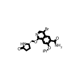 CC(C)Oc1cc2c(OC[C@@H]3CCC(=O)N3)ncc(Br)c2cc1C(N)=O